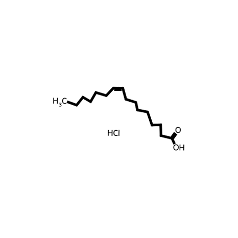 CCCCCC/C=C\CCCCCCCC(=O)O.Cl